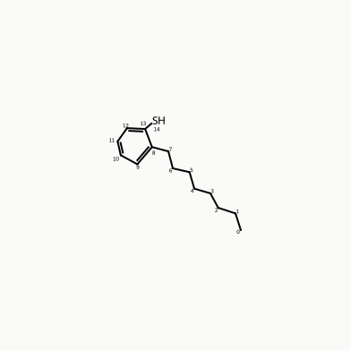 CCCCCCCCc1ccccc1S